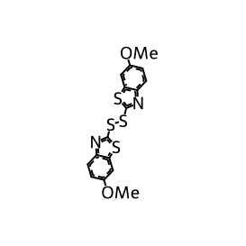 COc1ccc2nc(SSc3nc4ccc(OC)cc4s3)sc2c1